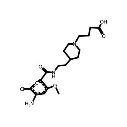 COc1cc(N)c(Cl)cc1C(=O)NCCC1CCN(CCCC(=O)O)CC1